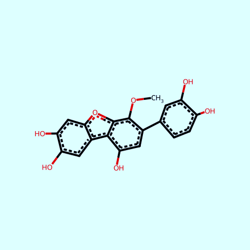 COc1c(-c2ccc(O)c(O)c2)cc(O)c2c1oc1cc(O)c(O)cc12